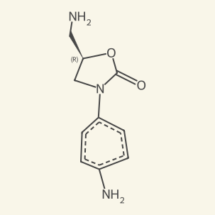 NC[C@@H]1CN(c2ccc(N)cc2)C(=O)O1